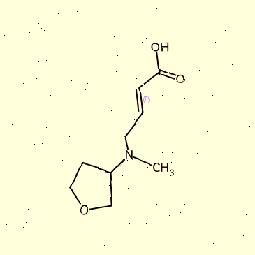 CN(C/C=C/C(=O)O)C1CCOC1